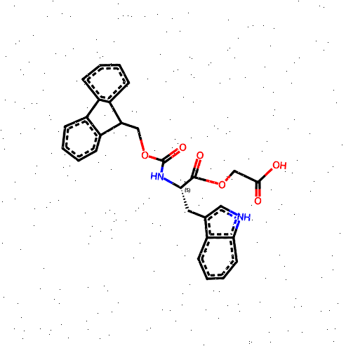 O=C(O)COC(=O)[C@H](Cc1c[nH]c2ccccc12)NC(=O)OCC1c2ccccc2-c2ccccc21